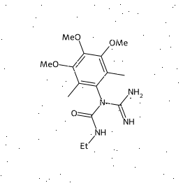 CCNC(=O)N(C(=N)N)c1c(C)c(OC)c(OC)c(OC)c1C